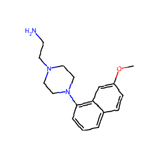 COc1ccc2cccc(N3CCN(CCN)CC3)c2c1